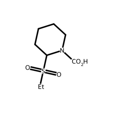 CCS(=O)(=O)C1CCCCN1C(=O)O